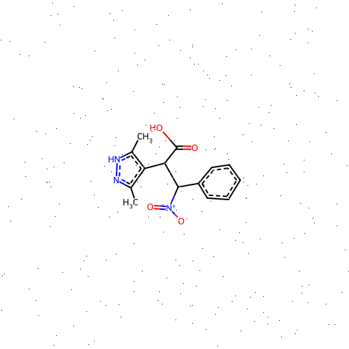 Cc1n[nH]c(C)c1C(C(=O)O)C(c1ccccc1)[N+](=O)[O-]